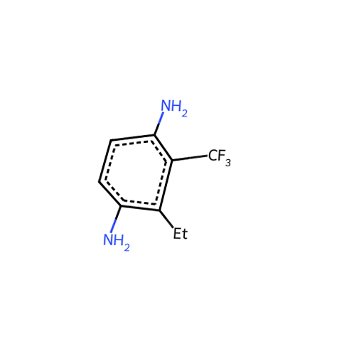 CCc1c(N)ccc(N)c1C(F)(F)F